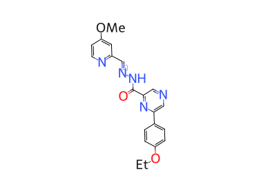 CCOc1ccc(-c2cncc(C(=O)N/N=C/c3cc(OC)ccn3)n2)cc1